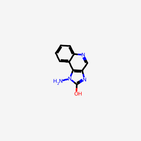 Nn1c(O)nc2cnc3ccccc3c21